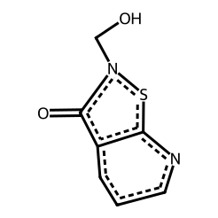 O=c1c2cccnc2sn1CO